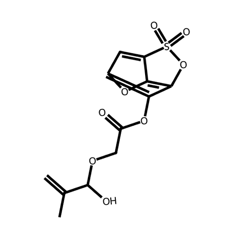 C=C(C)C(O)OCC(=O)Oc1c2c3oc1cc3S(=O)(=O)O2